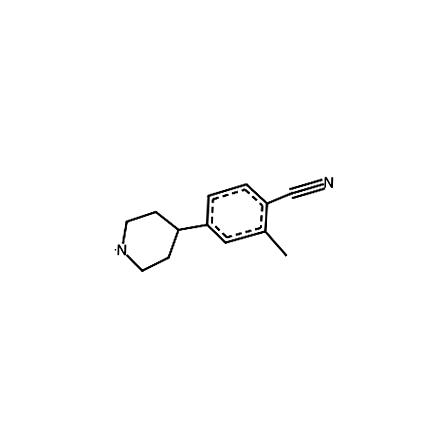 Cc1cc(C2CC[N]CC2)ccc1C#N